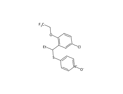 CCC(Sc1cc[n+]([O-])cc1)c1cc(Cl)ccc1OCC(F)(F)F